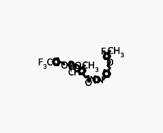 Cc1cc(OCCc2ccc(CN3CCN(C(=O)C=Cc4cc(C)c(Oc5ccc(OCc6ccc(C(F)(F)F)cc6)cn5)c(Cl)c4)CC3)cc2)ccc1F